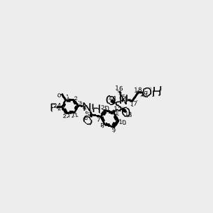 Cc1cc(NC(=O)c2cccc(S(=O)(=O)N(C)CCO)c2)ccc1F